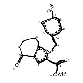 COC(=O)c1cc2c(n1Cc1ccc(C(C)C)cc1)CCCC2=O